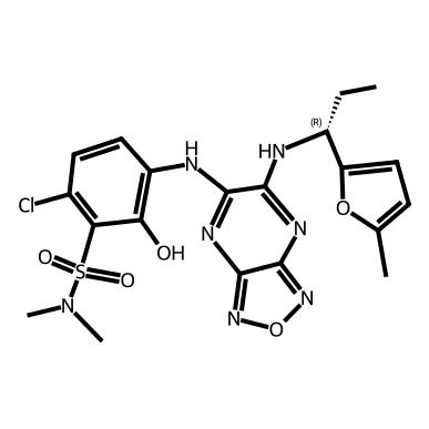 CC[C@@H](Nc1nc2nonc2nc1Nc1ccc(Cl)c(S(=O)(=O)N(C)C)c1O)c1ccc(C)o1